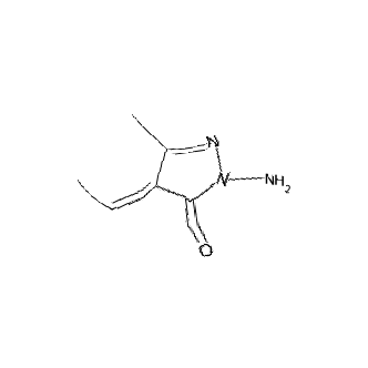 CC=C1C(=O)N(N)N=C1C